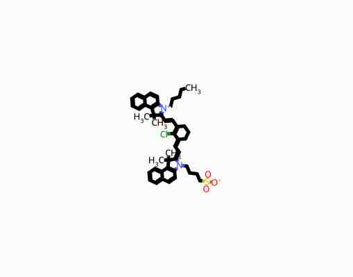 CCCCC[N+]1=C(/C=C/C2=C(Cl)C(=C/C=C3/N(CCCCS(=O)(=O)[O-])c4ccc5ccccc5c4C3(C)C)/CCC2)C(C)(C)c2c1ccc1ccccc21